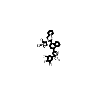 CCN1OC[C@@H](N(Cc2ccccn2)C(=O)c2ccc(C3=NOC(c4cc(Cl)c(F)c(Cl)c4)(C(F)(F)F)C3)c3ccccc23)C1=O